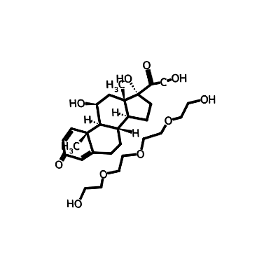 C[C@]12C=CC(=O)C=C1CC[C@@H]1[C@@H]2[C@@H](O)C[C@@]2(C)[C@H]1CC[C@]2(O)C(=O)CO.OCCOCCOCCOCCO